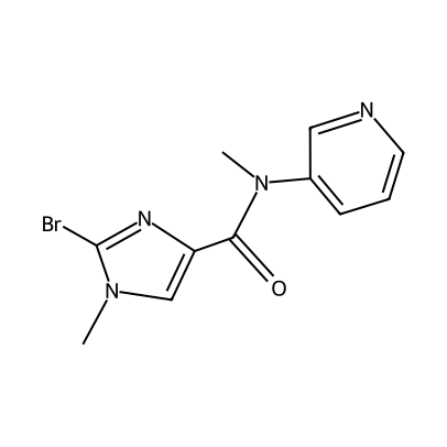 CN(C(=O)c1cn(C)c(Br)n1)c1cccnc1